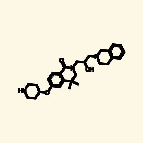 CC1(C)CN(CC(O)CN2CCc3ccccc3C2)C(=O)c2ccc(OC3CCNCC3)cc21